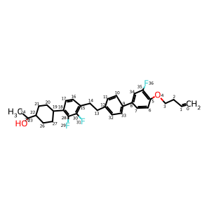 C=CCCOc1ccc(-c2ccc(CCc3ccc(C4CCC(C(C)O)CC4)c(F)c3F)cc2)cc1F